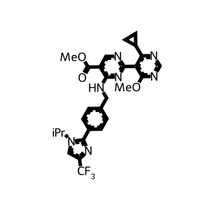 COC(=O)c1cnc(-c2c(OC)ncnc2C2CC2)nc1NCc1ccc(-c2nc(C(F)(F)F)cn2C(C)C)cc1